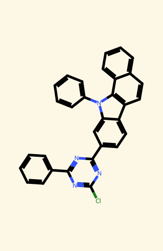 Clc1nc(-c2ccccc2)nc(-c2ccc3c4ccc5ccccc5c4n(-c4ccccc4)c3c2)n1